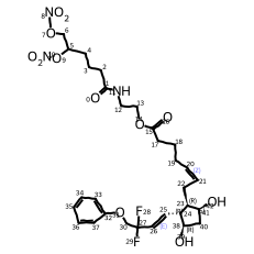 O=C(CCCC(CO[N+](=O)[O-])O[N+](=O)[O-])NCCOC(=O)CCC/C=C\C[C@@H]1[C@@H](/C=C/C(F)(F)COc2ccccc2)[C@H](O)C[C@@H]1O